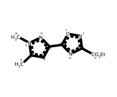 CCOC(=O)c1noc(-c2cc(C)n(C)n2)n1